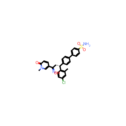 Cc1cc(Cl)ccc1[C@H](C/C(=N\O)c1ccc(=O)n(C)c1)c1ccc(-c2ccc(S(N)(=O)=O)cc2)cc1